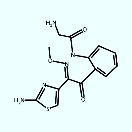 CON=C(C(=O)c1ccccc1[N]C(=O)CN)c1csc(N)n1